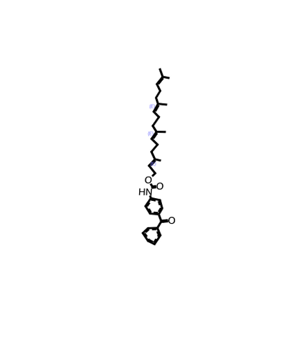 CC(C)=CCC/C(C)=C/CC/C(C)=C/CC/C(C)=C/COC(=O)Nc1ccc(C(=O)c2ccccc2)cc1